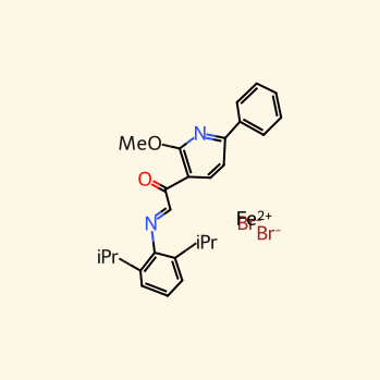 COc1nc(-c2ccccc2)ccc1C(=O)C=Nc1c(C(C)C)cccc1C(C)C.[Br-].[Br-].[Fe+2]